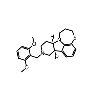 COc1cccc(OC)c1CN1CC[C@H]2[C@@H](C1)c1cccc3c1N2CCCS3